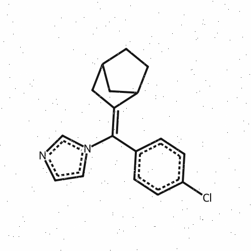 Clc1ccc(/C(=C2/CC3CCC2C3)n2ccnc2)cc1